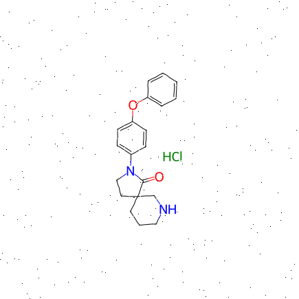 Cl.O=C1N(c2ccc(Oc3ccccc3)cc2)CCC12CCCNC2